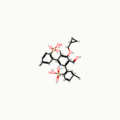 Cc1ccc(S(=O)(=O)O)c(-c2cc(-c3cc(C)ccc3S(=O)(=O)O)c(C=O)c(OCC3CC3)c2C)c1